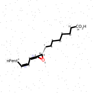 CCCCC/C=C\C=C1/O[C@H]1CCCCCCCC(=O)O